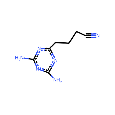 N#CCCCc1nc(N)nc(N)n1